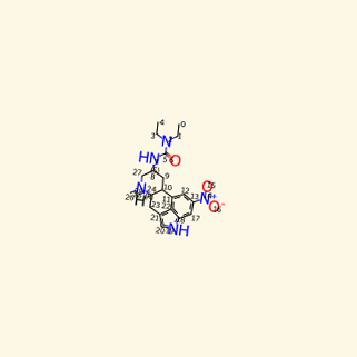 CCN(CC)C(=O)N[C@H]1CC2c3cc([N+](=O)[O-])cc4[nH]cc(c34)C[C@H]2N(C)C1